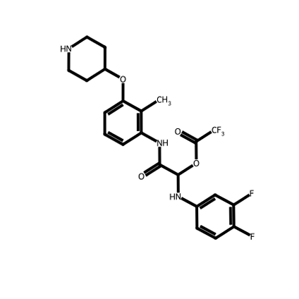 Cc1c(NC(=O)C(Nc2ccc(F)c(F)c2)OC(=O)C(F)(F)F)cccc1OC1CCNCC1